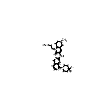 COCCn1c2c(cc(Nc3ncc4ccnc(N5CCC(F)(F)CC5)c4n3)c1=O)CN(C)CC2